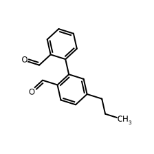 CCCc1ccc(C=O)c(-c2ccccc2C=O)c1